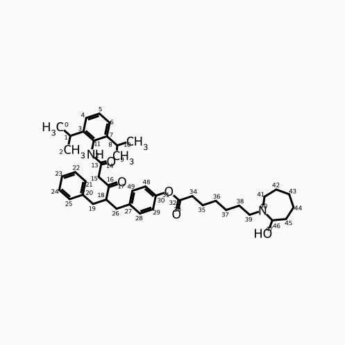 CC(C)c1cccc(C(C)C)c1NC(=O)CC(=O)C(Cc1ccccc1)Cc1ccc(OC(=O)CCCCCCN2CCCCCC2O)cc1